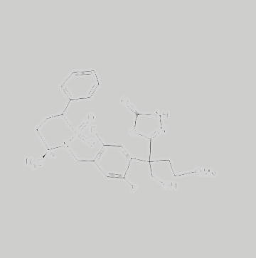 COCCC(CO)(c1n[nH]c(=O)o1)c1cc(F)c(CN2[C@@H](C)CCC(c3ccccc3)S2(=O)=O)cc1F